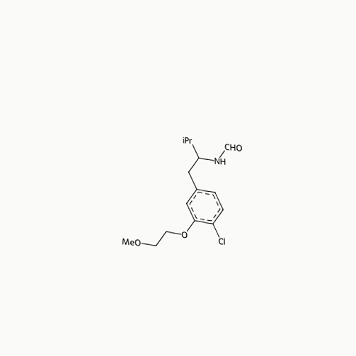 COCCOc1cc(CC(NC=O)C(C)C)ccc1Cl